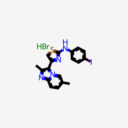 Br.Cc1ccc2nc(C)c(-c3csc(Nc4ccc(I)cc4)n3)n2c1